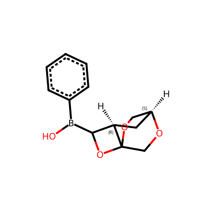 OB(c1ccccc1)C1OC23CO[C@H](CO2)C[C@H]13